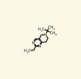 CCc1ncc2c(n1)CCN(C(C)(C)C)C2